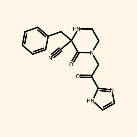 N#CC1(Cc2ccccc2)NCCN(CC(=O)c2ncc[nH]2)C1=O